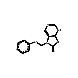 O=C1OC2NC=NC=C2N1COc1ccccc1